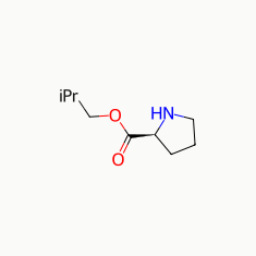 CC(C)COC(=O)[C@@H]1CCCN1